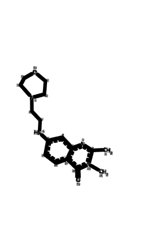 Cc1nc2cc(NCCN3CCOCC3)ccc2c(=O)n1C